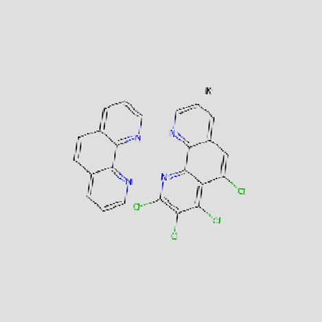 Clc1nc2c(c(Cl)cc3cccnc32)c(Cl)c1Cl.[K].c1cnc2c(c1)ccc1cccnc12